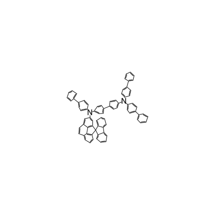 c1ccc(-c2ccc(N(c3ccc(-c4ccccc4)cc3)c3ccc(-c4ccc(N(c5ccc(-c6ccccc6)cc5)c5cc6c7c(ccc8cccc(c87)C67c6ccccc6-c6ccccc67)c5)cc4)cc3)cc2)cc1